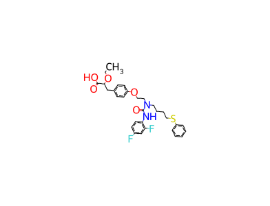 CCOC(Cc1ccc(OCCN(CCCCSc2ccccc2)C(=O)Nc2ccc(F)cc2F)cc1)C(=O)O